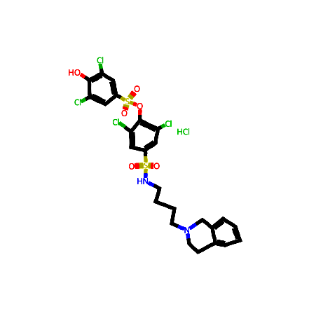 Cl.O=S(=O)(NCCCCN1CCc2ccccc2C1)c1cc(Cl)c(OS(=O)(=O)c2cc(Cl)c(O)c(Cl)c2)c(Cl)c1